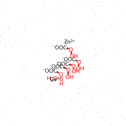 O.O=C([O-])OO.O=C([O-])OO.O=C([O-])OO.O=C([O-])OO.O=C([O-])OO.[Ga+3].[Zn+2]